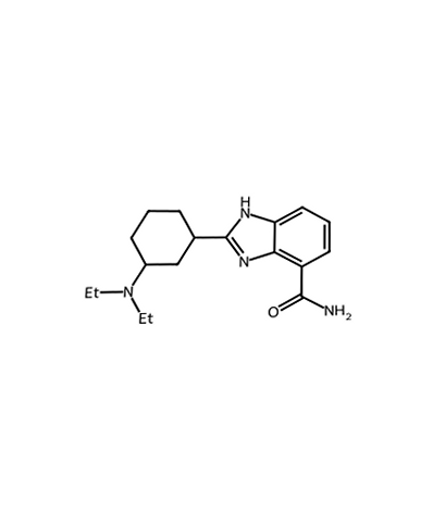 CCN(CC)C1CCCC(c2nc3c(C(N)=O)cccc3[nH]2)C1